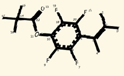 CC(C)=C(C)c1c(F)c(F)c(OC(=O)C(C)(C)C)c(F)c1F